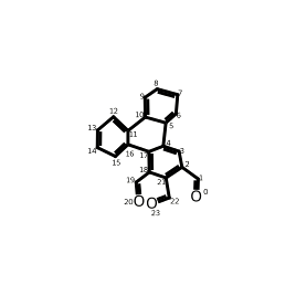 O=Cc1cc2c3ccccc3c3ccccc3c2c(C=O)c1C=O